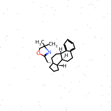 CC1(C)COC(C[C@@]23CCC[C@H]2[C@@H]2CCc4ccccc4[C@H]2CC3)=N1